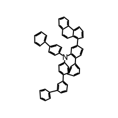 c1ccc(-c2ccc(N(c3ccc(-c4cccc(-c5ccccc5)c4)cc3)c3cc(-c4cccc5c4ccc4ccccc45)ccc3-c3ccccc3)cc2)cc1